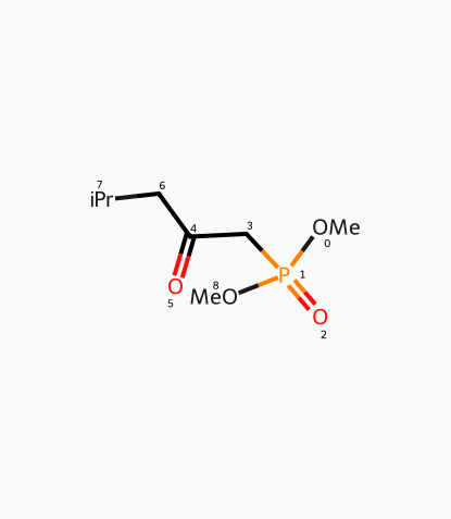 COP(=O)(CC(=O)CC(C)C)OC